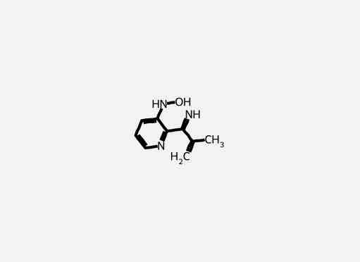 C=C(C)C(=N)c1ncccc1NO